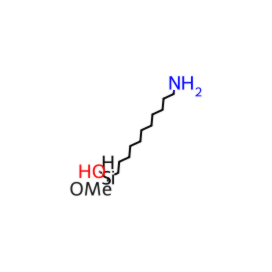 CO[SiH](O)CCCCCCCCCCCN